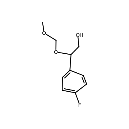 COCOC(CO)c1ccc(F)cc1